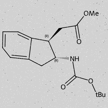 COC(=O)C[C@@H]1c2ccccc2C[C@H]1NC(=O)OC(C)(C)C